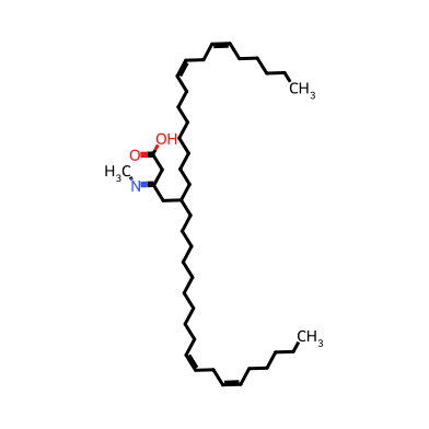 CCCCC/C=C\C/C=C\CCCCCCCCCC(CCCCCCC/C=C\C/C=C\CCCCC)C/C(CC(=O)O)=N/C